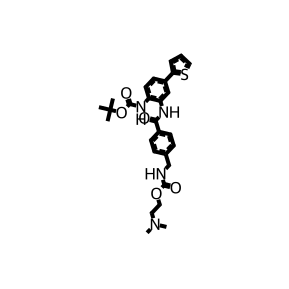 CN(C)CCOC(=O)NCc1ccc(C(=O)Nc2cc(-c3cccs3)ccc2NC(=O)OC(C)(C)C)cc1